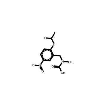 CN(Cc1cc([N+](=O)[O-])ccc1OC(F)F)C(=O)O